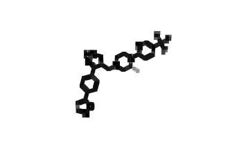 C[C@@H]1CN(Cc2c[nH]nc2-c2ccc(-c3ccno3)cc2)CCN1c1ccc(C(F)(F)F)cn1